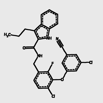 CCCc1c(C(=O)NCc2ccc(Cl)c(Oc3cc(Cl)cc(C#N)c3)c2F)[nH]c2ccccc12